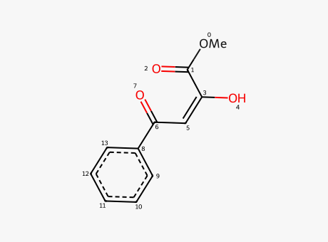 COC(=O)/C(O)=C\C(=O)c1ccccc1